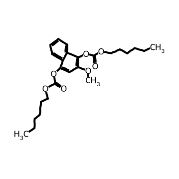 CCCCCCOC(=O)Oc1cc(OC)c(OC(=O)OCCCCCC)c2ccccc12